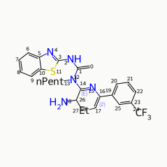 C=C(Nc1nc2ccccc2s1)N(CCCCC)/C(=N/C(=C\CC)c1cccc(C(F)(F)F)c1)C(C)N